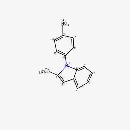 O=C(O)c1cc2ccccc2n1-c1ccc([N+](=O)[O-])cc1